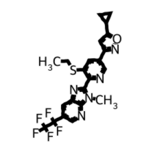 CCSc1cc(-c2cc(C3CC3)on2)cnc1-c1nc2cc(C(F)(F)C(F)(F)F)cnc2n1C